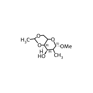 CO[C@H]1OC2COC(C)O[C@@H]2[C@H](O)C1C